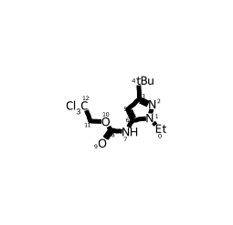 CCn1nc(C(C)(C)C)cc1NC(=O)OCC(Cl)(Cl)Cl